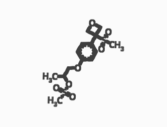 CC(COc1ccc(C2(S(C)(=O)=O)COC2)cc1)OS(C)(=O)=O